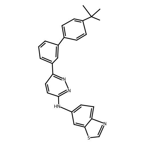 CC(C)(C)c1ccc(-c2cccc(-c3ccc(Nc4ccc5ncsc5c4)nn3)c2)cc1